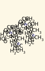 C=CC1=C(C)/C(=C/c2[nH]c(Cc3[nH]c(/C=C4\NC(=O)C(C)=C4C=C)c(C)c3CCC(=O)O)c(CCC(=O)O)c2C)NC1=O.C=CC1=C(C)/C(=C/c2[nH]c(Cc3[nH]c(/C=C4\NC(=O)C(C)=C4C=C)c(C)c3CCC(=O)O)c(CCC(=O)O)c2C)NC1=O